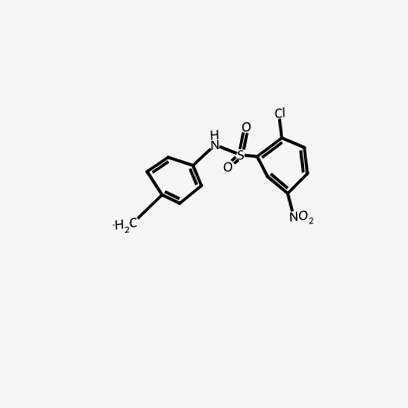 [CH2]c1ccc(NS(=O)(=O)c2cc([N+](=O)[O-])ccc2Cl)cc1